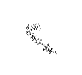 CC(O[Si](C)(C)C(C)(C)C)c1nccn1Cc1cc(-c2ccc(C#C[C@@H]3[C@H]4CN(S(C)(=O)=O)C[C@@H]34)cc2)on1